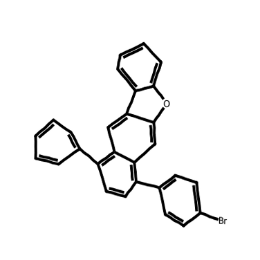 Brc1ccc(-c2ccc(-c3ccccc3)c3cc4c(cc23)oc2ccccc24)cc1